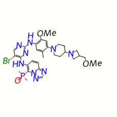 COCC1CN(C2CCN(c3cc(OC)c(Nc4ncc(Br)c(Nc5ccc6ncnn6c5P(C)(C)=O)n4)cc3C)CC2)C1